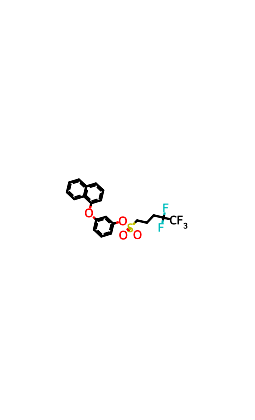 O=S(=O)(CCCC(F)(F)C(F)(F)F)Oc1cccc(Oc2cccc3ccccc23)c1